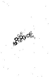 C[C@@H]1OCC2(CCN(c3cnc4c(=O)n(-c5cccc(-c6ccn(C)n6)c5Cl)c(=O)[nH]c4n3)CC2)[C@@H]1N